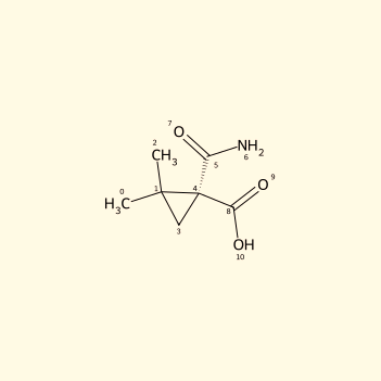 CC1(C)C[C@]1(C(N)=O)C(=O)O